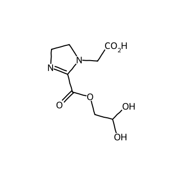 O=C(O)CN1CCN=C1C(=O)OCC(O)O